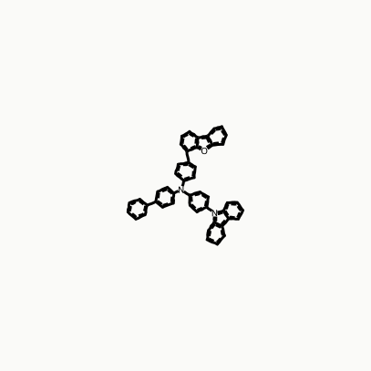 c1ccc(-c2ccc(N(c3ccc(-c4cccc5c4oc4ccccc45)cc3)c3ccc(-n4c5ccccc5c5ccccc54)cc3)cc2)cc1